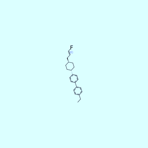 CCc1ccc(-c2ccc([C@H]3CC[C@H](C/C=C/F)CC3)cc2)cc1